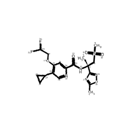 Cc1nc([C@@](C)(CS(C)(=O)=O)NC(=O)c2cc(OCC(F)F)c(C3CC3)cn2)no1